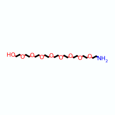 NCCOCCOCCOCCOCCOCCOCCOCCOCCO